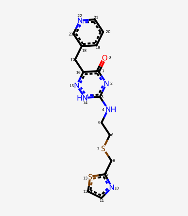 O=c1nc(NCCSCc2nccs2)[nH]nc1Cc1cccnc1